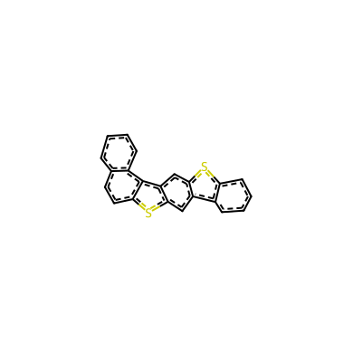 c1ccc2c(c1)ccc1sc3cc4c(cc3c12)sc1ccccc14